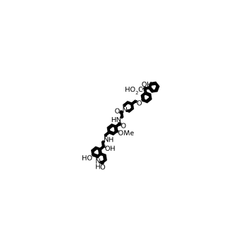 COc1cc(CNC[C@H](O)c2ccc(O)c3[nH]c(=O)ccc23)ccc1C(=O)NCC(=O)N1CCC(COc2cccc([C@](O)(C(=O)O)c3ccccc3)c2)CC1